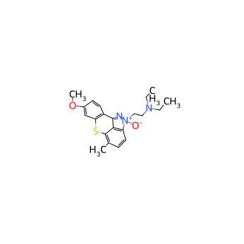 CCN(CC)CC[N+]1([O-])N=C2c3ccc(OC)cc3Sc3c(C)ccc1c32